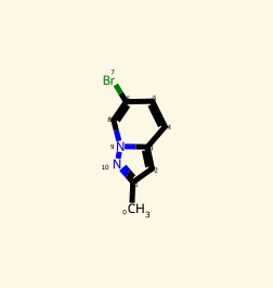 Cc1cc2ccc(Br)cn2n1